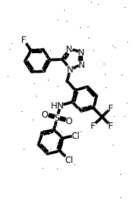 O=S(=O)(Nc1cc(C(F)(F)F)ccc1Cn1nnnc1-c1cccc(F)c1)c1cccc(Cl)c1Cl